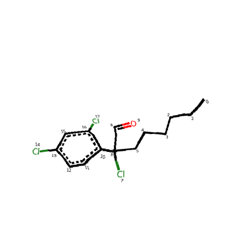 CCCCCCC(Cl)(C=O)c1ccc(Cl)cc1Cl